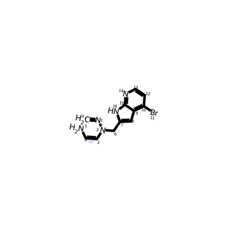 C=NN(/C=C\N)Cc1cc2c(Br)ccnc2[nH]1